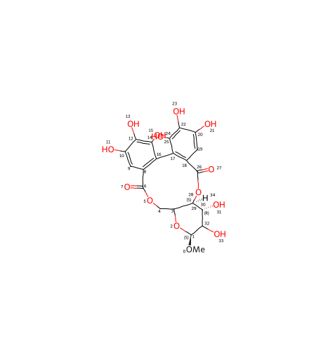 CO[C@H]1OC2COC(=O)c3cc(O)c(O)c(O)c3-c3c(cc(O)c(O)c3O)C(=O)O[C@H]2[C@H](O)C1O